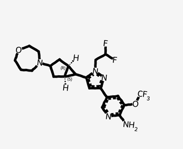 Nc1ncc(-c2cc(C3[C@H]4CC(N5CCCOCC5)C[C@@H]34)n(CC(F)F)n2)cc1OC(F)(F)F